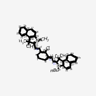 CCCCN1/C(=C/C=C2\CCCC(/C=C/C3=[N+](C)c4ccc5ccccc5c4C3(C)C)=C2Cl)C(C)(C)c2c1ccc1ccccc21